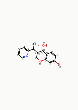 CC(c1ccccn1)[C@@H]1COc2cc(Br)ccc2[C@H]1O